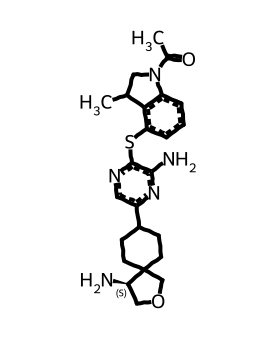 CC(=O)N1CC(C)c2c(Sc3ncc(C4CCC5(CC4)COC[C@H]5N)nc3N)cccc21